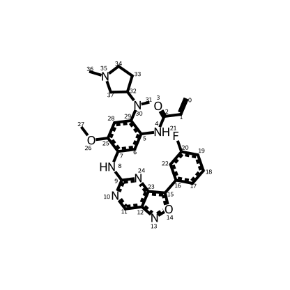 C=CC(=O)Nc1cc(Nc2ncc3noc(-c4cccc(F)c4)c3n2)c(OC)cc1N(C)C1CCN(C)C1